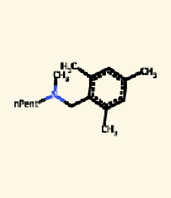 CCCCCN(C)Cc1c(C)cc(C)cc1C